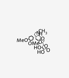 COc1ccc([C@@]23C=CC4(C[C@@H]2N(C)CC3)OC[C@@H]([C@H]2OC(=O)C(O)=C2O)O4)cc1OC